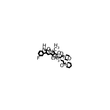 Cc1[nH]c(/C=C2\C(=O)Nc3ccc(F)cc32)c(C)c1C(=O)N[C@@H](CCC(=O)N1CCCCC1)C(=O)N1CCOCC1